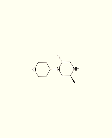 C[C@@H]1CN[C@@H](C)CN1C1CCOCC1